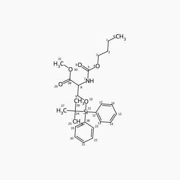 CCCCOC(=O)NC(CO[Si](c1ccccc1)(c1ccccc1)C(C)(C)C)C(=O)OC